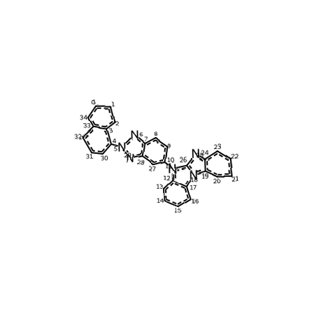 c1ccc2c(-n3nc4ccc(-n5c6ccccc6n6c7ccccc7nc56)cc4n3)cccc2c1